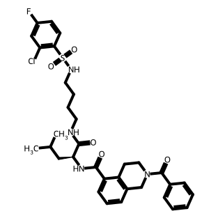 CC(C)C[C@H](NC(=O)c1cccc2c1CCN(C(=O)c1ccccc1)C2)C(=O)NCCCCNS(=O)(=O)c1ccc(F)cc1Cl